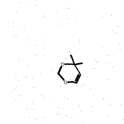 CC1(C)C=COCO1